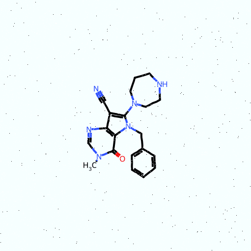 Cn1cnc2c(C#N)c(N3CCCNCC3)n(Cc3ccccc3)c2c1=O